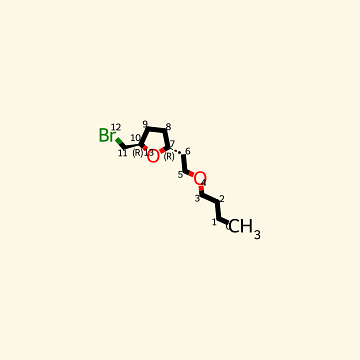 CCCCOCC[C@H]1CC[C@H](CBr)O1